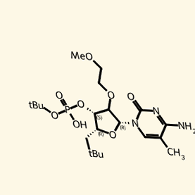 COCCOC1[C@@H](OP(=O)(O)OC(C)(C)C)[C@@H](CC(C)(C)C)O[C@H]1n1cc(C)c(N)nc1=O